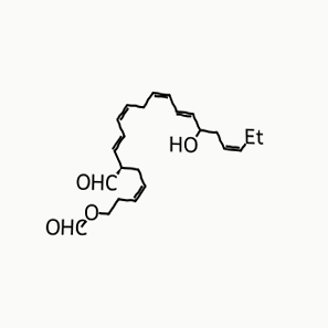 CC/C=C\CC(O)/C=C/C=C\C/C=C\C=C\[C@H](C=O)C/C=C\CCOC=O